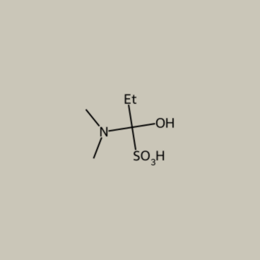 CCC(O)(N(C)C)S(=O)(=O)O